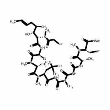 C/C=C/C[C@@H](C)[C@@H](O)[C@@H](C(=O)N[C@@H](CC)C(=O)N(C)[C@H](C)C(=O)N(C)[C@@H](CC(C)(C)O)C(=O)NC(=O)N(C)C(=O)NC(=O)N[C@@H](C)C(=O)N(C)[C@@H](CC(C)C)C(=O)NC)N(C)C(=O)CC(C)C